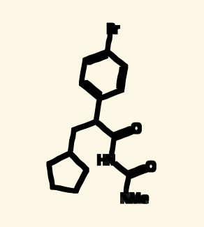 CNC(=O)NC(=O)C(CC1CCCC1)c1ccc(Br)cc1